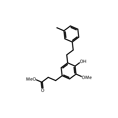 COC(=O)CCc1cc(CCc2cccc(C)c2)c(O)c(OC)c1